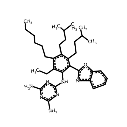 CCCCCCc1c(CCC(C)C)c(CCC(C)C)c(-c2nc3ccccc3o2)c(Nc2nc(N)nc(N)n2)c1CC